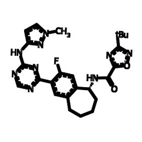 Cn1ccc(Nc2ncnc(-c3cc4c(cc3F)[C@H](NC(=O)c3nc(C(C)(C)C)no3)CCCC4)n2)n1